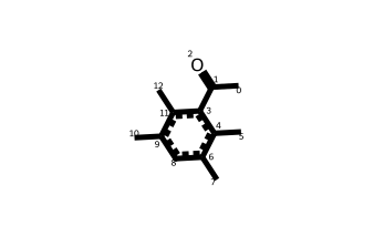 CC(=O)c1c(C)c(C)cc(C)c1C